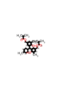 C=C(C)C(=O)OCc1cc(C)c(O)c(C(c2cc(COC(=O)C(=C)C)cc(C)c2O)C2CC=C(C)CC2)c1